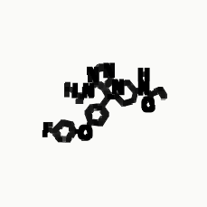 C=CC(=O)NC1CCc2c(-c3ccc(Oc4ccc(F)cc4)cc3)c3c(N)ncnc3n2C1